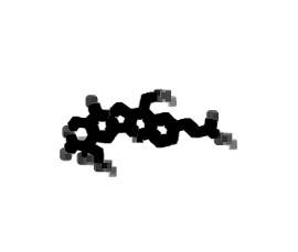 CCc1c2c(nc3ccc(C=CC(C)=O)cc13)-c1cc3c(c(=O)n1C2)COC(=O)[C@]3(O)CC